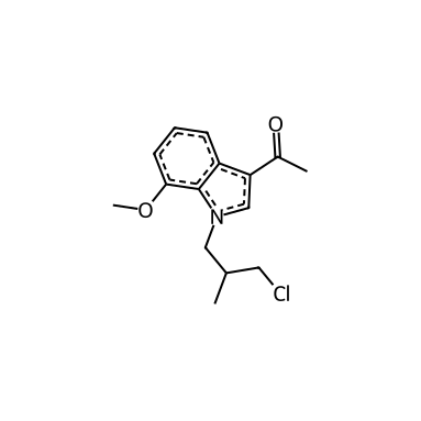 COc1cccc2c(C(C)=O)cn(CC(C)CCl)c12